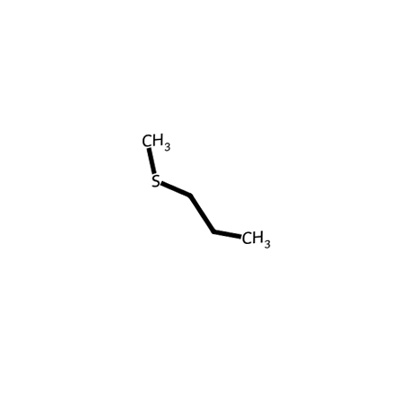 CCCSC